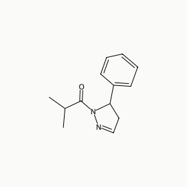 CC(C)C(=O)N1N=CCC1c1ccccc1